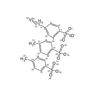 Cc1ccc(S(=O)(=O)[O-])cc1.Cc1ccc(S(=O)(=O)[O-])cc1.Cc1ccc(S(=O)(=O)[O-])cc1.[O]=[V+3]